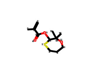 C=C(C)C(=O)OC1SCCCOC1(C)C